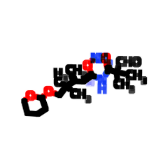 C=C(/C=C(/NC(=O)C(C)(C)C=O)ON)C(C)(C)COC1CCCCO1